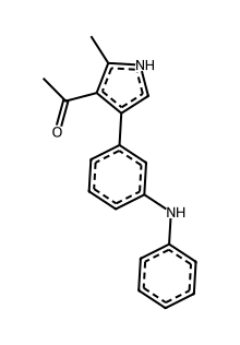 CC(=O)c1c(-c2cccc(Nc3ccccc3)c2)c[nH]c1C